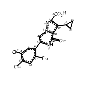 O=C(O)c1nn2cc(-c3cc(Cl)c(Cl)cc3F)[nH]c(=O)c2c1C1CC1